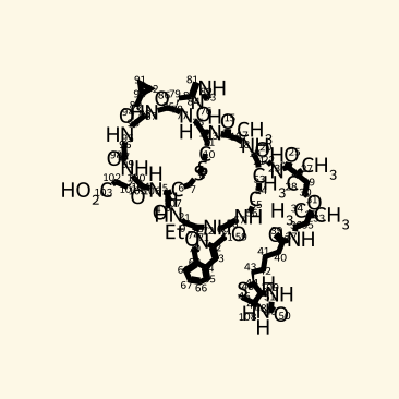 CC[C@@H]1NC(=O)[C@H]2CCSSCCC(NC(=O)[C@H](C)NC(=O)[C@H](CNC(=O)C(C)(C)CCOC(C)(C)CCNC(=O)CCCC[C@@H]3SC[C@@H]4NC(=O)N[C@@H]43)CCCCNC(=O)[C@H](Cc3cc4ccccc4cn3)NC1=O)C(=O)N[C@@H](Cc1c[nH]cn1)C(=O)N[C@@H](CC1CC1)C(=O)NCC(=O)N[C@@H](CCC(=O)O)C(=O)N2